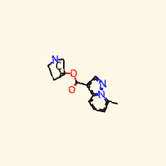 Cc1cccc2c(C(=O)OC3CN4CCC3CC4)cnn12